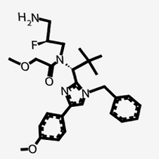 COCC(=O)N(C[C@@H](F)CN)[C@@H](c1nc(-c2ccc(OC)cc2)cn1Cc1ccccc1)C(C)(C)C